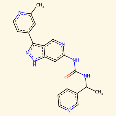 Cc1cc(-c2n[nH]c3cc(NC(=O)NC(C)c4cccnc4)ncc23)ccn1